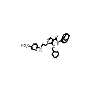 O=C(O)c1ccc(NCCn2ncc(C(=O)NC3C4CC5CC(C4)CC3C5)c2OCC2CCCCC2)nc1